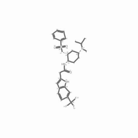 CC(C)N(C)[C@@H]1CC[C@H](NC(=O)Cc2cc3ccc(C(F)(F)F)cc3[nH]2)[C@H](CS(=O)(=O)c2ccccc2)C1